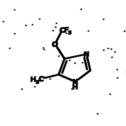 Cc1[nH]cnc1OC(F)(F)F